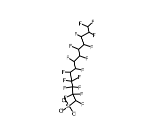 FC(F)C(F)C(F)C(F)C(F)C(F)C(F)C(F)C(F)C(F)(F)C(F)(F)C(F)(F)C(F)[Si](Cl)(Cl)Cl